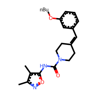 CCCCOc1cccc(C=C2CCN(C(=O)Nc3onc(C)c3C)CC2)c1